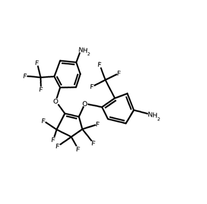 Nc1ccc(OC2=C(Oc3ccc(N)cc3C(F)(F)F)C(F)(F)C(F)(F)C2(F)F)c(C(F)(F)F)c1